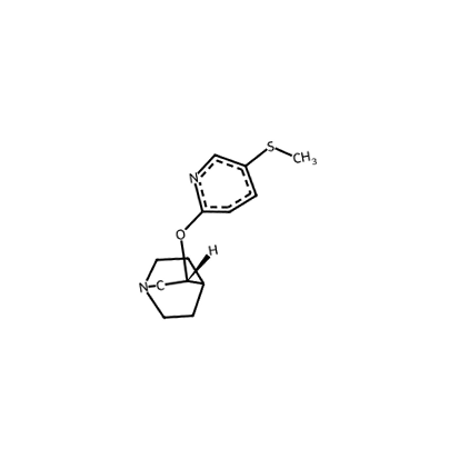 CSc1ccc(O[C@H]2CN3CCC2CC3)nc1